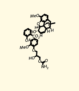 CC(=O)Oc1ccccc1C(=O)O.COc1ccc2c3c1O[C@H]1[C@@H](O)C=C[C@H]4[C@@H](C2)N(C)CC[C@@]341.COc1ccccc1OCC(O)COC(N)=O